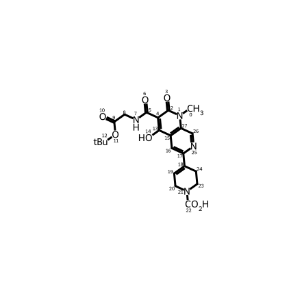 Cn1c(=O)c(C(=O)NCC(=O)OC(C)(C)C)c(O)c2cc(C3=CCN(C(=O)O)CC3)ncc21